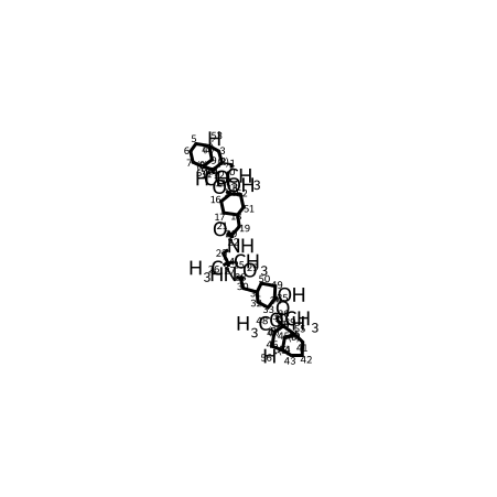 CC[C@@H]1C[C@@H]2CCC[C@@H](C2)[C@@]1(C)OOC1(O)CCC(CC(=O)NCC(C)(C)NC(=O)CC2CCC(O)(OO[C@]3(C)[C@H]4CCC[C@H](C4)C[C@H]3C)CC2)CC1